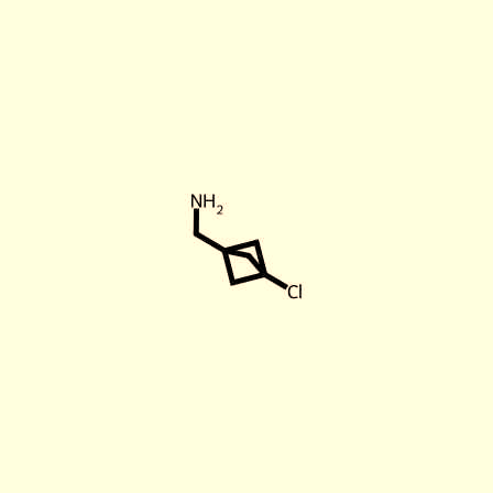 NCC12CC(Cl)(C1)C2